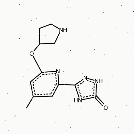 Cc1cc(OC2CCNC2)nc(-c2n[nH]c(=O)[nH]2)c1